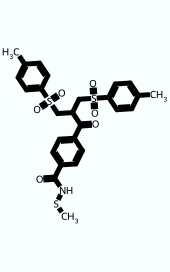 CSNC(=O)c1ccc(C(=O)C(CS(=O)(=O)c2ccc(C)cc2)CS(=O)(=O)c2ccc(C)cc2)cc1